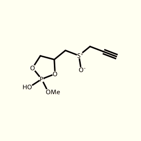 C#CC[S+]([O-])CC1CO[P](O)(OC)O1